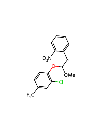 COC([C]c1ccccc1[N+](=O)[O-])Oc1ccc(C(F)(F)F)cc1Cl